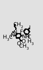 C=CCn1c[n+](C)c2cc(C(=O)OC)c(Nc3ccc(I)cc3C)c(F)c21